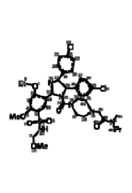 CCOc1cc(OC)c(S(=O)(=O)NCOC)cc1C1=N[C@@H](c2ccc(Cl)cc2)[C@@H](c2ccc(Cl)cc2)N1C(=O)N1CCN(CC(=O)N(C)C(C)C)CC1